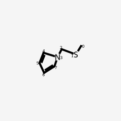 CSCn1cccc1